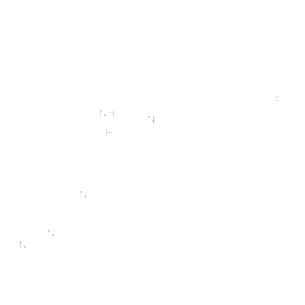 CCc1ccc(CN(C)CC2CCCCC2NC(=O)c2ccc(-n3cccn3)nc2)cc1